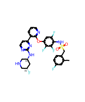 Cc1cc(F)ccc1CS(=O)(=O)Nc1c(F)cc(Oc2ncccc2-c2ccnc(N[C@@H]3CNC[C@@H](F)C3)n2)c(F)c1F